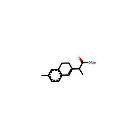 COC(=O)C(C)C1=Cc2ccc(C)cc2CC1